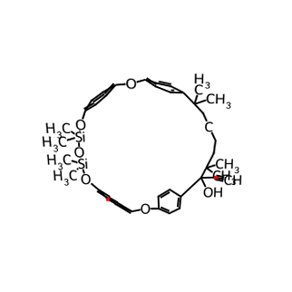 C#CC1(O)c2ccc(cc2)Oc2ccc(cc2)O[Si](C)(C)O[Si](C)(C)Oc2ccc(cc2)Oc2ccc(cc2)C(C)(C)CCCCC1(C)C